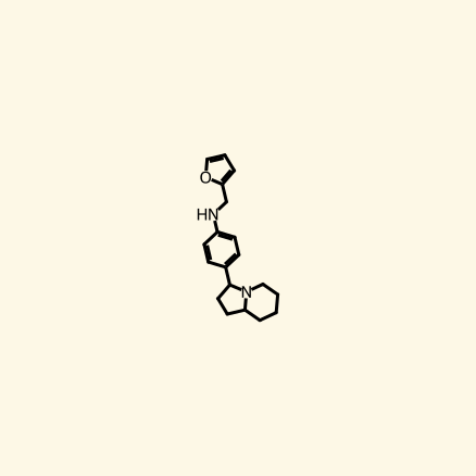 c1coc(CNc2ccc(C3CCC4CCCCN43)cc2)c1